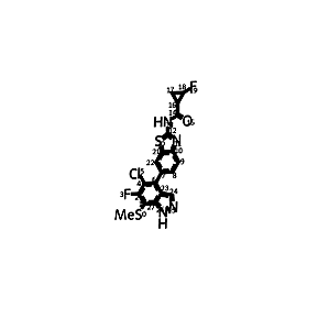 CSc1c(F)c(Cl)c(-c2ccc3nc(NC(=O)C4CC4F)sc3c2)c2cn[nH]c12